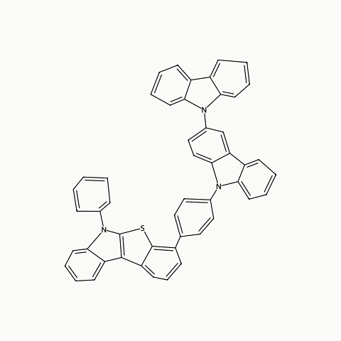 c1ccc(-n2c3ccccc3c3c4cccc(-c5ccc(-n6c7ccccc7c7cc(-n8c9ccccc9c9ccccc98)ccc76)cc5)c4sc32)cc1